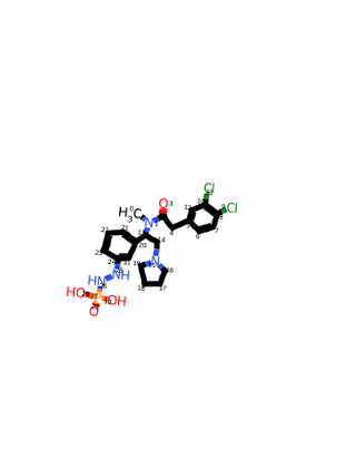 CN(C(=O)Cc1ccc(Cl)c(Cl)c1)C(CN1CCCC1)c1cccc(NNP(=O)(O)O)c1